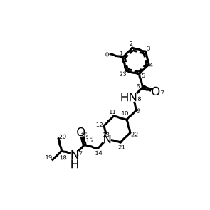 Cc1cccc(C(=O)NCC2CCN(CC(=O)NC(C)C)CC2)c1